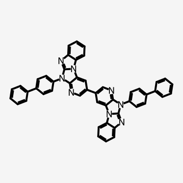 c1ccc(-c2ccc(-n3c4ncc(-c5cnc6c(c5)n5c7ccccc7nc5n6-c5ccc(-c6ccccc6)cc5)cc4n4c5ccccc5nc34)cc2)cc1